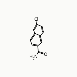 NC(=O)c1ccc2cc(Cl)ccc2c1